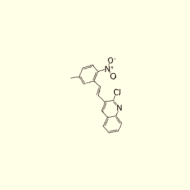 Cc1ccc([N+](=O)[O-])c(/C=C/c2cc3ccccc3nc2Cl)c1